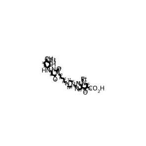 CCc1cc(Nc2cc(=O)n(CCCCN3CCN(c4ncc5c(=O)c(C(=O)O)cn(CC)c5n4)CC3)c(=O)[nH]2)ccc1C